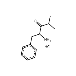 CC(C)C(=O)C(N)Cc1ccccc1.Cl